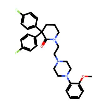 COc1ccccc1N1CCN(CCN2CCCC(c3ccc(F)cc3)(c3ccc(F)cc3)C2=O)CC1